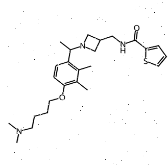 Cc1c(OCCCCN(C)C)ccc(C(C)N2CC(CNC(=O)c3cccs3)C2)c1C